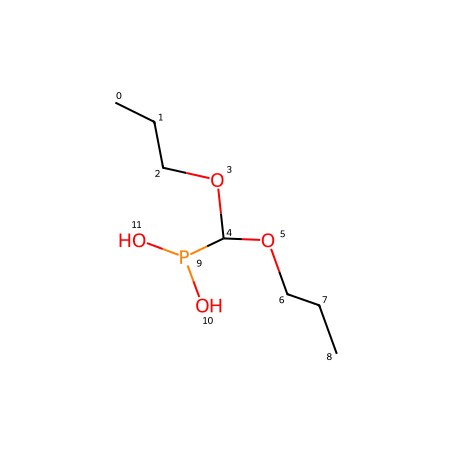 CCCOC(OCCC)P(O)O